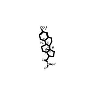 CC(C)N(C(=O)C1CC[C@H]2[C@@H]3CCC4=CC(C(=O)O)=CC[C@]4(C)[C@@H]3CC[C@]12C)C(C)C